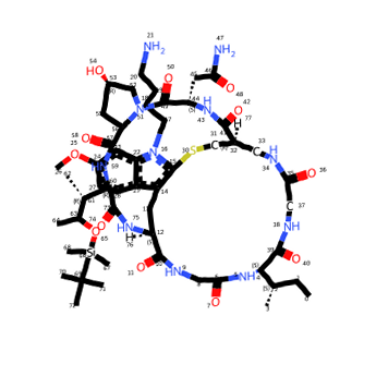 CC[C@H](C)[C@@H]1NC(=O)CNC(=O)[C@@H]2Cc3c(n(CCCCN)c4cc(OC)ccc34)SC[C@H](CNC(=O)CNC1=O)C(=O)N[C@@H](CC(N)=O)C(=O)N1C[C@H](O)CC1C(=O)N[C@H]([C@@H](C)C(C)O[Si](C)(C)C(C)(C)C)C(=O)N2